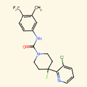 Cc1cc(NC(=O)N2CCC(F)(c3ncccc3Cl)CC2)ccc1C(F)(F)F